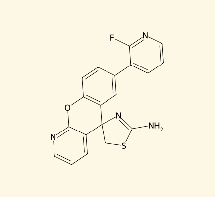 NC1=NC2(CS1)c1cc(-c3cccnc3F)ccc1Oc1ncccc12